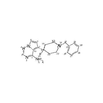 Nc1ncnn2ccc(C3(F)CCN(Cc4ccccc4)CC3)c12